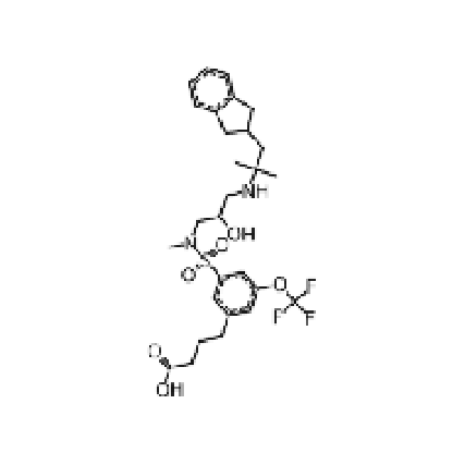 CN(CC(O)CNC(C)(C)CC1Cc2ccccc2C1)S(=O)(=O)c1cc(CCCC(=O)O)cc(OC(F)(F)F)c1